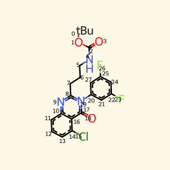 CC(C)(C)OC(=O)NCCCc1nc2cccc(Cl)c2c(=O)n1-c1cc(F)cc(F)c1